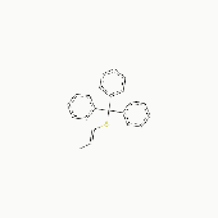 CC=CSC(c1ccccc1)(c1ccccc1)c1ccccc1